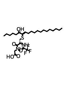 CCCCCCCCCCCCC=C(SC[C@H](NC(=O)C(F)(F)F)C(=O)NCC(=O)O)[C@H](O)CCCCC